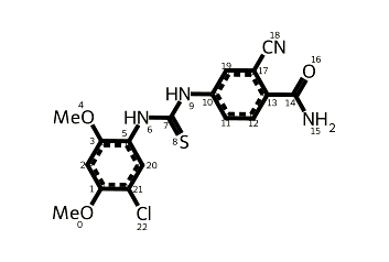 COc1cc(OC)c(NC(=S)Nc2ccc(C(N)=O)c(C#N)c2)cc1Cl